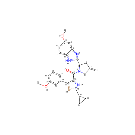 C=C1CC(c2nc3cc(OC)ccc3[nH]2)N(C(=O)c2nc(C3CC3)sc2-c2cccc(OC)c2)C1